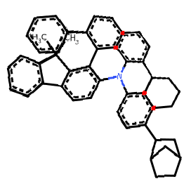 CC1(C)c2ccccc2-c2ccc(N(c3ccc(C4CC5CCC4C5)cc3)c3ccccc3C3CCCCC3)c(-c3ccccc3-c3ccccc3)c21